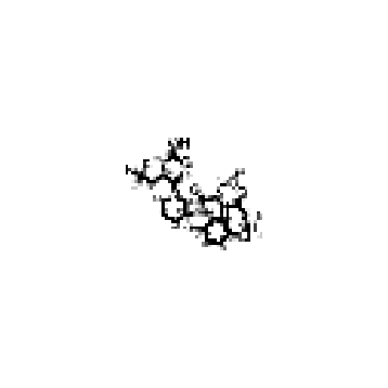 COC[C@H](NC(=O)[C@H](C)N)C(=O)N[C@@]1(Cc2ccc(Cl)cc2)CCCN(C(=O)[C@@H](CC(=O)O)CC(F)(F)F)C1